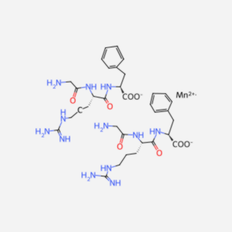 N=C(N)NCCC[C@H](NC(=O)CN)C(=O)N[C@@H](Cc1ccccc1)C(=O)[O-].N=C(N)NCCC[C@H](NC(=O)CN)C(=O)N[C@@H](Cc1ccccc1)C(=O)[O-].[Mn+2]